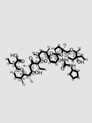 CC[C@@H](C(=O)[C@@H](C)[C@@H](O)[C@H](C)[C@@H]1O[C@@H]([C@@H](CC)C(=O)O)CC[C@@H]1C)[C@H]1O[C@]2(C=C[C@@H](NC(=O)NC3CCCC3)[C@]3(CC[C@@](C)([C@H]4CC[C@](O)(CC)[C@H](C)O4)O3)O2)[C@H](C)C[C@@H]1C